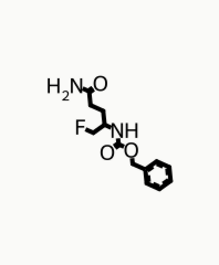 NC(=O)CCC(CF)NC(=O)OCc1ccccc1